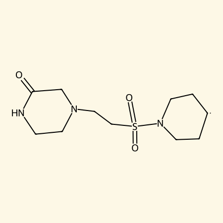 O=C1CN(CCS(=O)(=O)N2CC[CH]CC2)CCN1